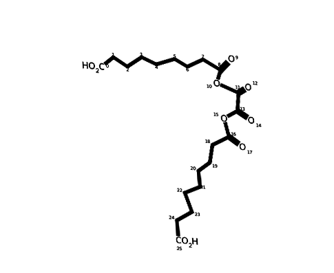 O=C(O)CCCCCCCC(=O)OC(=O)C(=O)OC(=O)CCCCCCCC(=O)O